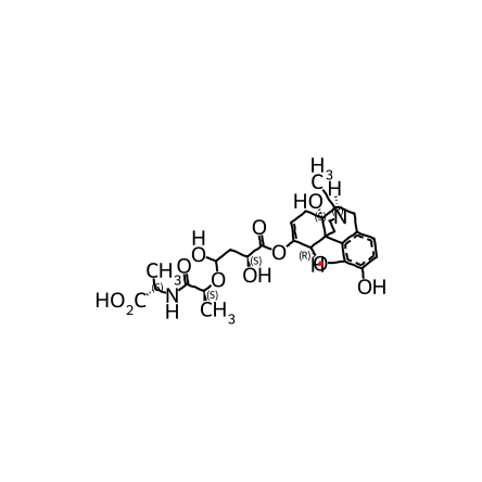 C[C@H](NC(=O)[C@H](C)OC(O)C[C@H](O)C(=O)OC1=CC[C@@]2(O)[C@H]3Cc4ccc(O)c5c4C2(CCN3C)[C@H]1O5)C(=O)O